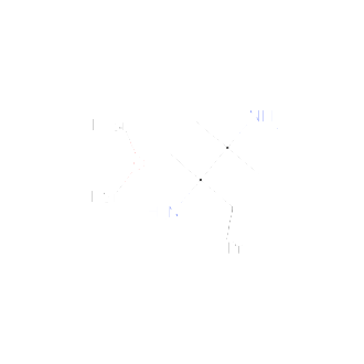 CC(C)CC(C)(N)C(C)(C)N.[SiH3]O[SiH3]